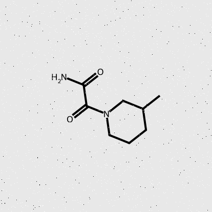 CC1CCCN(C(=O)C(N)=O)C1